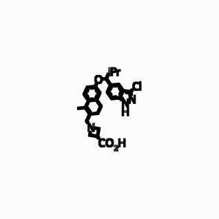 CC1=C(CN2CC(C(=O)O)C2)CCc2cc(OC(c3ccc4[nH]nc(Cl)c4c3)C(C)C)ccc21